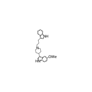 COc1ccc2[nH]cc(C3CCN(CCCc4c[nH]c5ccccc45)CC3)c2c1